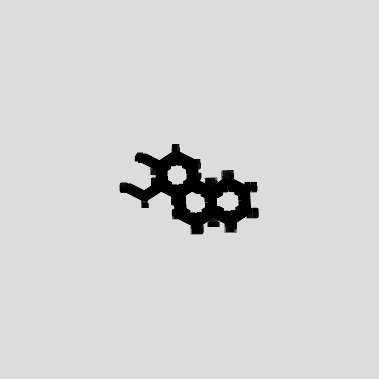 CCc1c(C)ccc2c1ccc1ccccc12